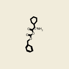 N[C@H](C(=O)OC(=O)OCc1ccccc1)C1CCCCC1